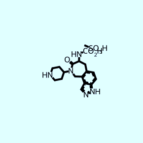 CS(=O)(=O)O.O=C(O)NC1Cc2ccc3[nH]ncc3c2CN(C2CCNCC2)C1=O